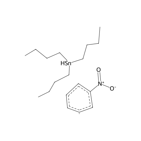 CCC[CH2][SnH]([CH2]CCC)[CH2]CCC.O=[N+]([O-])c1c[c]ccc1